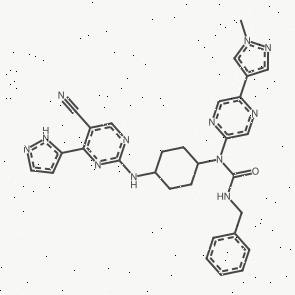 Cn1cc(-c2cnc(N(C(=O)NCc3ccccc3)C3CCC(Nc4ncc(C#N)c(-c5ccn[nH]5)n4)CC3)cn2)cn1